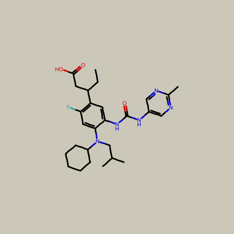 CCC(CC(=O)O)c1cc(NC(=O)Nc2cnc(C)nc2)c(N(CC(C)C)C2CCCCC2)cc1F